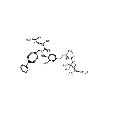 COC(=O)N[C@H](C(=O)N(Cc1ccc(-c2ccccn2)cc1)Nc1ccc(CC[C@H](C)NC(=O)[C@H]2C[C@@H](N(C)C(=O)O)C2(C)C)cc1O)C(C)(C)C